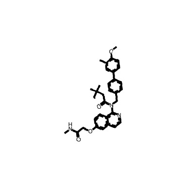 CNC(=O)COc1ccc2c(N(Cc3ccc(-c4ccc(OC)c(C)c4)cc3)C(=O)CC(C)(C)C)nccc2c1